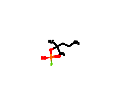 CCC[Si](C)(C)OP(=O)(O)F